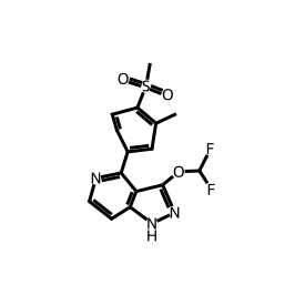 Cc1cc(-c2nccc3[nH]nc(OC(F)F)c23)ccc1S(C)(=O)=O